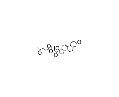 CC(=O)CCC(=O)OCC(=O)[C@@]1(O)[C@@H](C)CC2C3CCC4=CC(=O)C=C[C@]4(C)C3=CC[C@@]21C